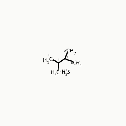 CC(C)C(C)C.S